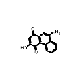 Cc1cc2c(c3ccccc13)C(=O)C(O)=CC2=O